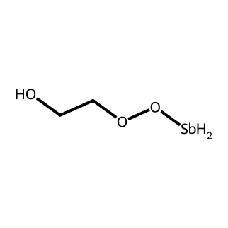 OCCO[O][SbH2]